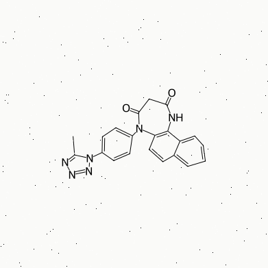 Cc1nnnn1-c1ccc(N2C(=O)CC(=O)Nc3c2ccc2ccccc32)cc1